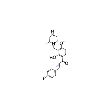 COc1ccc(C(=O)/C=C/c2ccc(F)cc2)c(O)c1CN1CCNCC1C